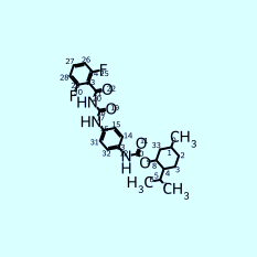 CC1CCC(C(C)C)C(OC(=O)Nc2ccc(NC(=O)NC(=O)c3c(F)cccc3F)cc2)C1